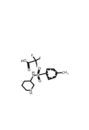 Cc1ccc(S(=O)(=O)NC2CCCNC2)cc1.O=C(O)C(F)(F)F